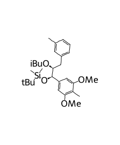 COc1cc([C@@H](O[Si](C)(C)C(C)(C)C)[C@H](Cc2cccc(C)c2)OCC(C)C)cc(OC)c1C